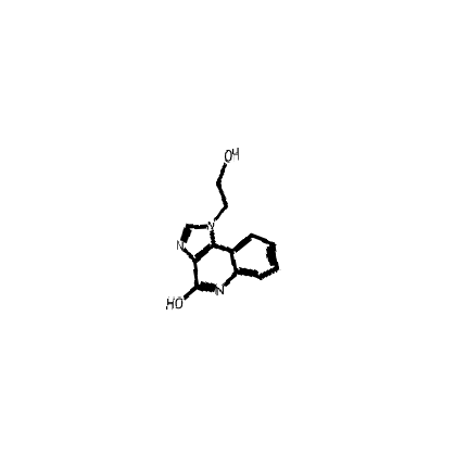 OCCn1cnc2c(O)nc3ccccc3c21